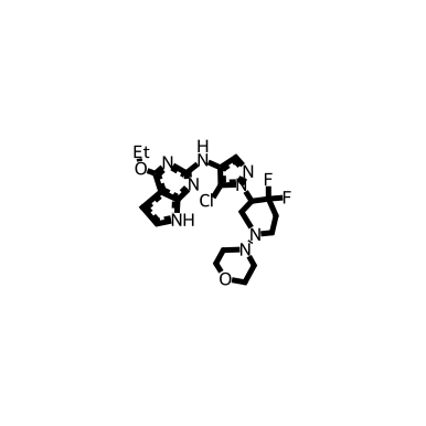 CCOc1nc(Nc2cnn(C3CN(N4CCOCC4)CCC3(F)F)c2Cl)nc2[nH]ccc12